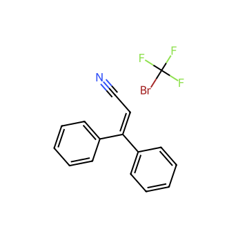 FC(F)(F)Br.N#CC=C(c1ccccc1)c1ccccc1